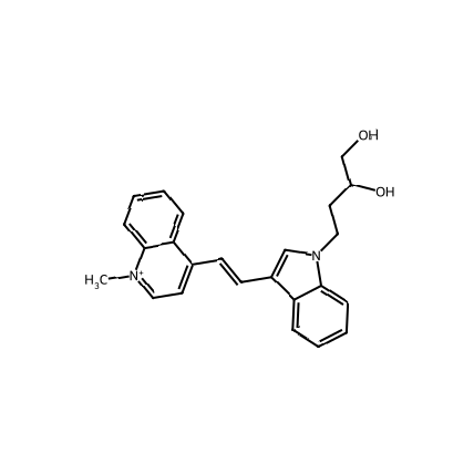 C[n+]1ccc(/C=C/c2cn(CCC(O)CO)c3ccccc23)c2ccccc21